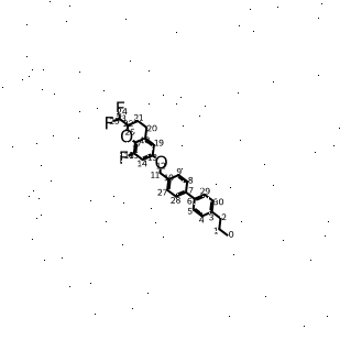 CCCc1ccc(-c2ccc(COc3cc(F)c4c(c3)CCC(C(F)F)O4)cc2)cc1